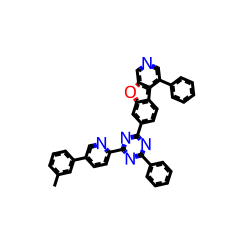 Cc1cccc(-c2ccc(-c3nc(-c4ccccc4)nc(-c4ccc5c(c4)oc4cncc(-c6ccccc6)c45)n3)nc2)c1